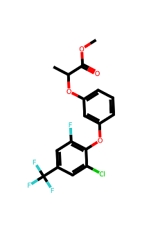 COC(=O)C(C)Oc1cccc(Oc2c(F)cc(C(F)(F)F)cc2Cl)c1